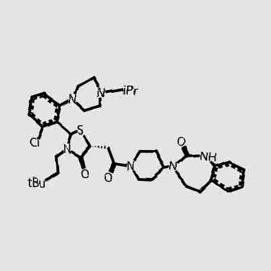 CC(C)N1CCN(c2cccc(Cl)c2C2S[C@H](CC(=O)N3CCC(N4CCc5ccccc5NC4=O)CC3)C(=O)N2CCC(C)(C)C)CC1